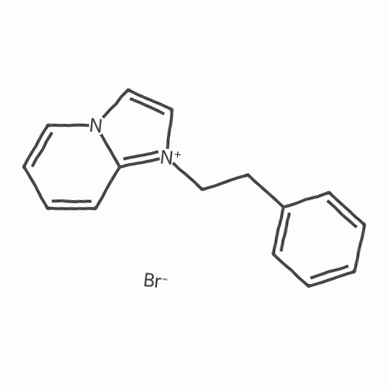 [Br-].c1ccc(CC[n+]2ccn3ccccc32)cc1